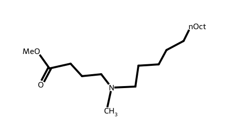 CCCCCCCCCCCCCN(C)CCCC(=O)OC